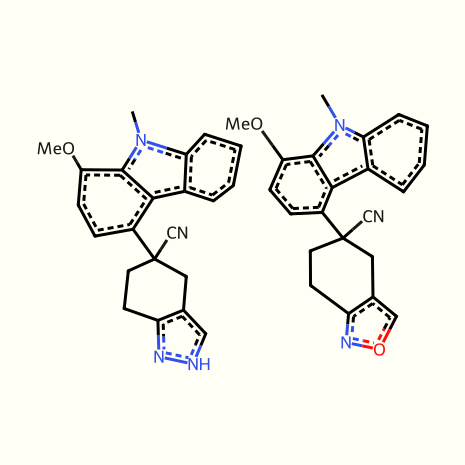 COc1ccc(C2(C#N)CCc3n[nH]cc3C2)c2c3ccccc3n(C)c12.COc1ccc(C2(C#N)CCc3nocc3C2)c2c3ccccc3n(C)c12